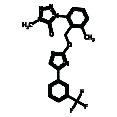 Cc1cccc(-n2nnn(C)c2=O)c1COc1nc(-c2cccc(C(F)(F)F)c2)cs1